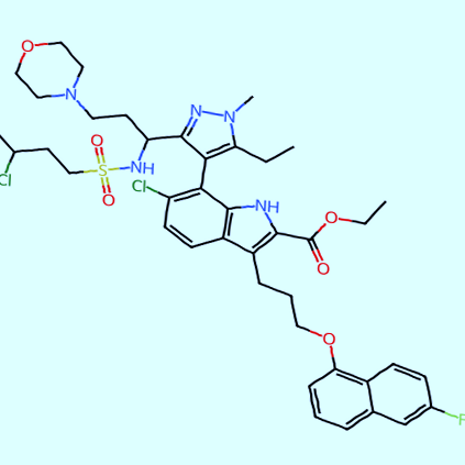 CCOC(=O)c1[nH]c2c(-c3c(C(CCN4CCOCC4)NS(=O)(=O)CCC(C)Cl)nn(C)c3CC)c(Cl)ccc2c1CCCOc1cccc2cc(F)ccc12